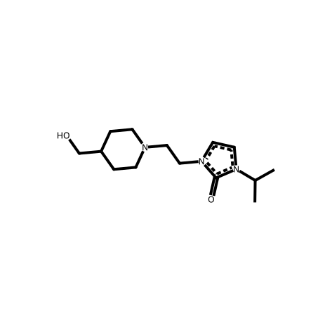 CC(C)n1ccn(CCN2CCC(CO)CC2)c1=O